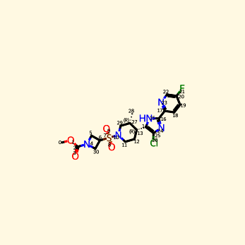 COC(=O)N1CC(S(=O)(=O)N2CC[C@@H](c3[nH]c(-c4ccc(F)cn4)nc3Cl)[C@@H](C)C2)C1